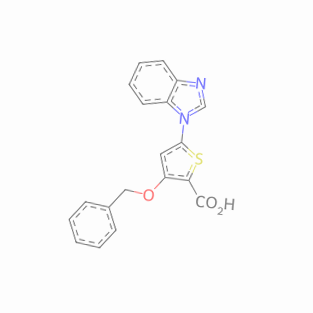 O=C(O)c1sc(-n2cnc3ccccc32)cc1OCc1ccccc1